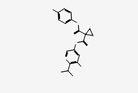 CC(C)c1ncc(NC(=O)C2(C(=O)Nc3ccc(F)cc3)CC2)cc1Cl